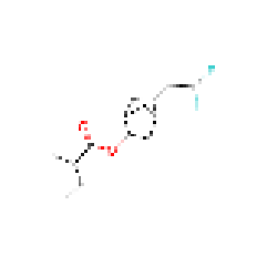 CCC(C)C(=O)OC1CC2CC1CC2CC(F)F